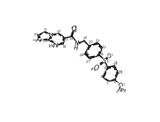 CCCOc1ccc(S(=O)(=O)c2ccc(CNC(=O)c3cnc4nccn4c3)cc2)cc1